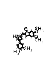 COc1cc2c(cc1OC)C(=O)/C(=C/c1cc(-c3ccc(C)c(C)c3)n[nH]1)C2